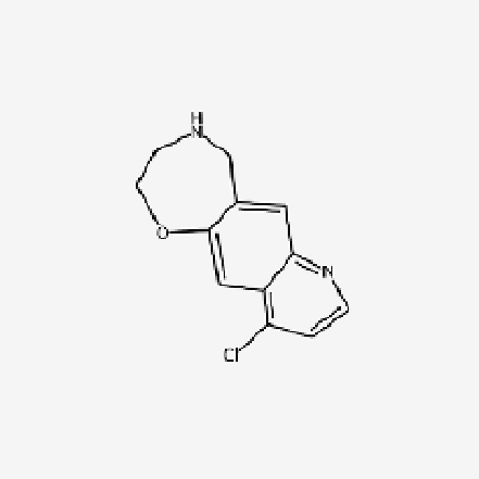 Clc1ccnc2cc3c(cc12)OCCNC3